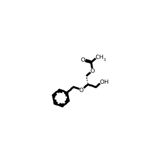 CC(=O)OC[C@H](CO)OCc1ccccc1